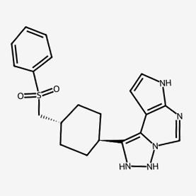 O=S(=O)(C[C@H]1CC[C@H](C2=C3c4cc[nH]c4N=CN3NN2)CC1)c1ccccc1